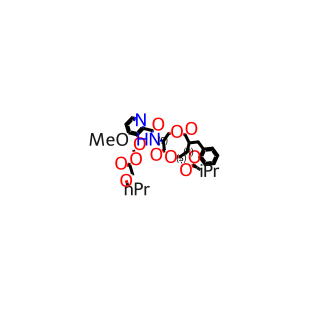 CCCOCC(=O)OCOc1c(OC)ccnc1C(=O)N[C@H]1COC(=O)C(Cc2ccccc2)[C@@H](OC(=O)C(C)C)[C@H](C)OC1=O